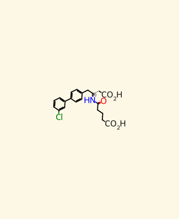 O=C(O)CCCC(=O)N[C@@H](CC(=O)O)Cc1ccc(-c2cccc(Cl)c2)cc1